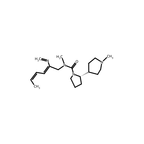 C=N/C(=C\C=C/C)CN(C)C(=O)N1CCC[C@H]1C1CCN(C)CC1